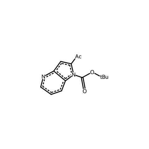 CC(=O)c1cc2ncccc2n1C(=O)OC(C)(C)C